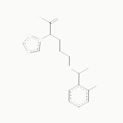 CC(OCCCC(C(=O)C(C)(C)C)n1cncn1)c1ccccc1Cl